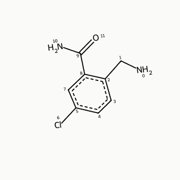 NCc1ccc(Cl)cc1C(N)=O